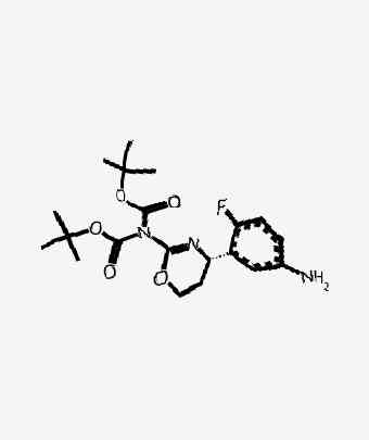 CC(C)(C)OC(=O)N(C(=O)OC(C)(C)C)C1=N[C@H](c2cc(N)ccc2F)CCO1